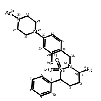 CC[C@H]1CCC(c2ccccc2)S(=O)(=O)N1Cc1ccc(N2CCN(C(C)=O)CC2)cc1F